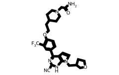 N#CC1N=C(c2ccc(OCCC3CCN(CC(N)=O)CC3)c(C(F)(F)F)c2)c2ccn(CC3CCOC3)c2N1